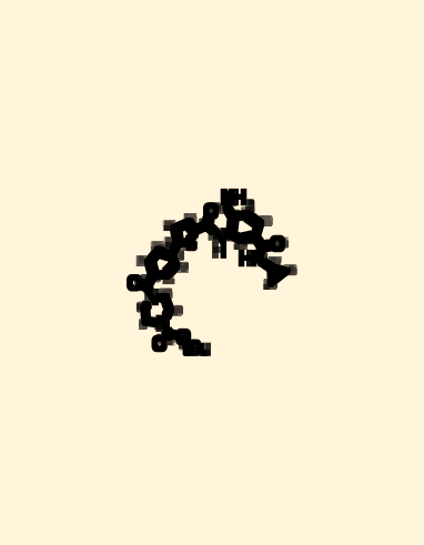 CC(C)(C)OC(=O)N1CCN(C(=O)c2ccc(-c3ccc(C(=O)Nc4cc(C(=O)NC5CC5)ccc4CN)s3)cc2)CC1